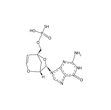 Nc1nc2c(ncn2[C@@H]2O[C@@]3(COP(=O)(O)S)C=CO[C@@H]2C3)c(=O)[nH]1